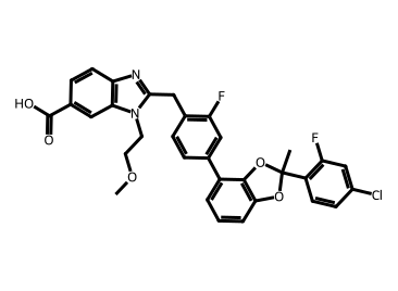 COCCn1c(Cc2ccc(-c3cccc4c3OC(C)(c3ccc(Cl)cc3F)O4)cc2F)nc2ccc(C(=O)O)cc21